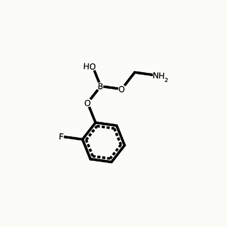 NCOB(O)Oc1ccccc1F